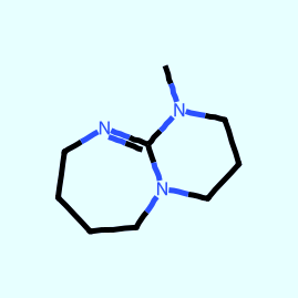 CN1CCCN2CCCCN=C12